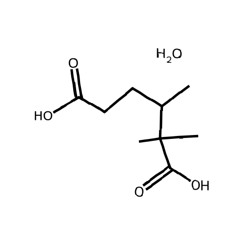 CC(CCC(=O)O)C(C)(C)C(=O)O.O